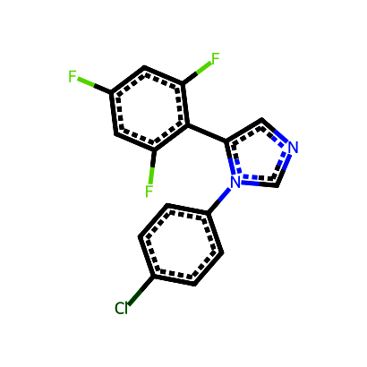 Fc1cc(F)c(-c2cncn2-c2ccc(Cl)cc2)c(F)c1